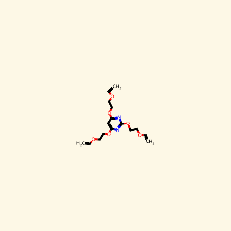 C=COCCOc1cc(OCCOC=C)nc(OCCOC=C)n1